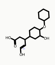 O=C(O)CC(/C=C/O)C1CCC(OC2CCCCC2)C(O)C1